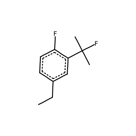 CCc1ccc(F)c(C(C)(C)F)c1